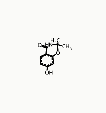 CC1(C)NC(=O)c2ccc(O)cc2O1